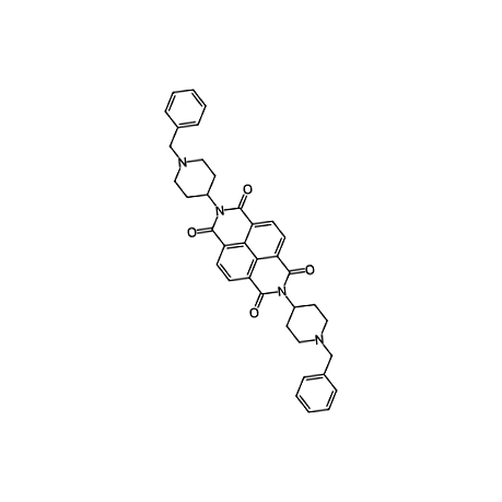 O=C1c2ccc3c4c(ccc(c24)C(=O)N1C1CCN(Cc2ccccc2)CC1)C(=O)N(C1CCN(Cc2ccccc2)CC1)C3=O